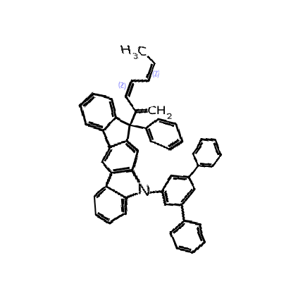 C=C(/C=C\C=C/C)C1(c2ccccc2)c2ccccc2-c2cc3c4ccccc4n(-c4cc(-c5ccccc5)cc(-c5ccccc5)c4)c3cc21